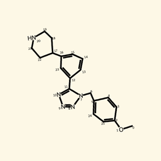 COc1ccc(Cn2nnnc2-c2cccc(C3CCNCC3)c2)cc1